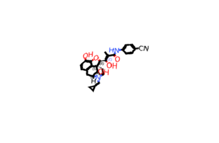 C/C(C(=O)Nc1ccc(C#N)cc1)=C(/O)[C@@H]1Oc2c(O)ccc3c2[C@@]12CCN(CC1CC1)[C@H](C3)[C@@]2(C)O